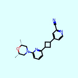 C[C@@H]1CN(c2cccc(C3CC(c4ccnc(C#N)c4)C3)n2)C[C@H](C)O1